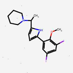 COc1c(I)cc(I)cc1-c1ccc(C(C)N2CCCCC2)[nH]1